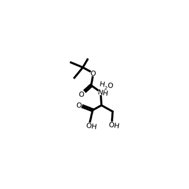 CC(C)(C)OC(=O)NC(CO)C(=O)O.O